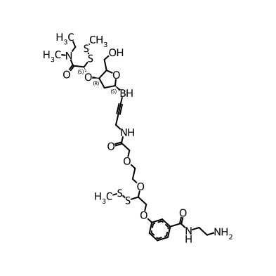 CCN(C)C(=O)[C@@H](O[C@@H]1C[C@H](BC#CCNC(=O)COCCOC(COc2cccc(C(=O)NCCN)c2)SSC)OC1CO)SSC